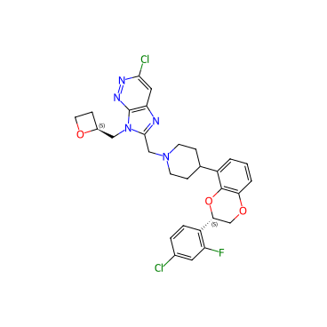 Fc1cc(Cl)ccc1[C@H]1COc2cccc(C3CCN(Cc4nc5cc(Cl)nnc5n4C[C@@H]4CCO4)CC3)c2O1